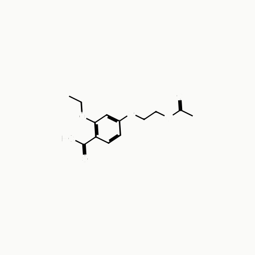 CCOc1cc(OCCOC(C)=O)ccc1C(=O)O